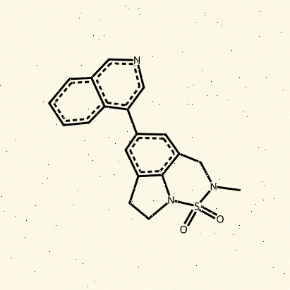 CN1Cc2cc(-c3cncc4ccccc34)cc3c2N(CC3)S1(=O)=O